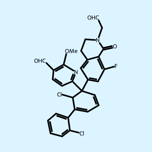 COc1nc(C2(c3cc(F)c4c(c3)CCN(CC=O)C4=O)C=CC=C(c3ccccc3Cl)C2Cl)ccc1C=O